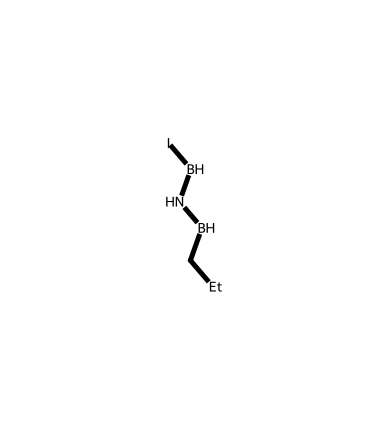 CCCBNBI